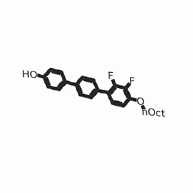 CCCCCCCCOc1ccc(-c2ccc(-c3ccc(O)cc3)cc2)c(F)c1F